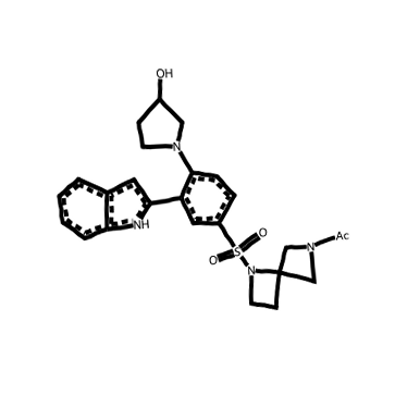 CC(=O)N1CC2(CCN2S(=O)(=O)c2ccc(N3CCC(O)C3)c(-c3cc4ccccc4[nH]3)c2)C1